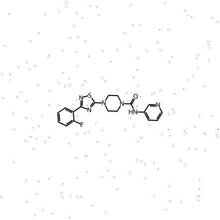 O=C(Nc1cccnc1)N1CCN(c2nc(-c3ccccc3F)ns2)CC1